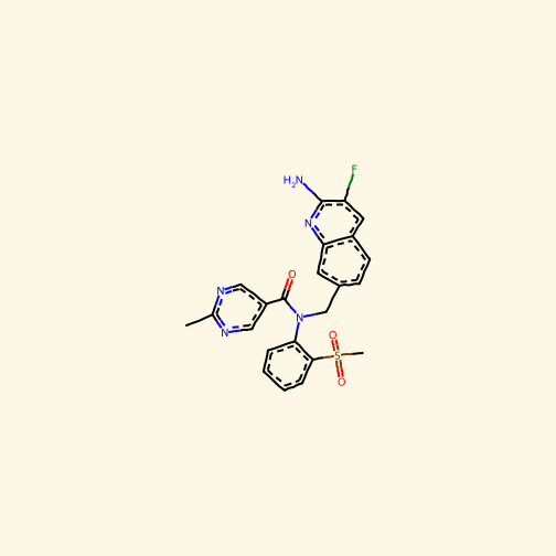 Cc1ncc(C(=O)N(Cc2ccc3cc(F)c(N)nc3c2)c2ccccc2S(C)(=O)=O)cn1